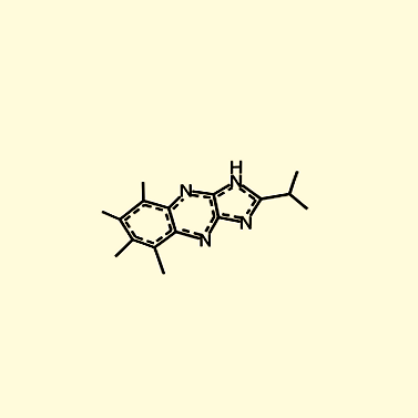 Cc1c(C)c(C)c2nc3[nH]c(C(C)C)nc3nc2c1C